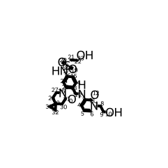 O=C(Nc1cccn(CCO)c1=O)c1ccc(NS(=O)(=O)CCO)cc1N1CCC2(CC1)CC2